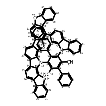 N#Cc1c(-c2ccccc2)c(C#N)c(-n2c3c(ccc4c5ccccc5sc43)c3ccc4c5ccccc5sc4c32)c(-c2ccccc2)c1-n1c2ccccc2c2ccc(-c3cccc4oc5ccccc5c34)cc21